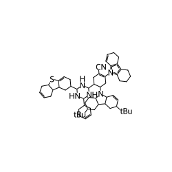 CC(C)(C)C1C=CC2C(C1)C1CC(C(C)(C)C)CCC1N2C1CC(n2c3c(c4c2CCCC4)CCC=C3)=C(C#N)CC1C1NC(C2CC=CCC2)NC(C2CC=C3SC4CC=CCC4C3C2)N1